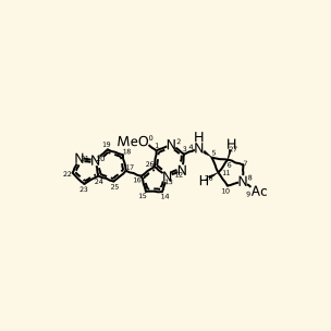 COc1nc(N[C@H]2[C@@H]3CN(C(C)=O)C[C@@H]32)nn2ccc(-c3ccn4nccc4c3)c12